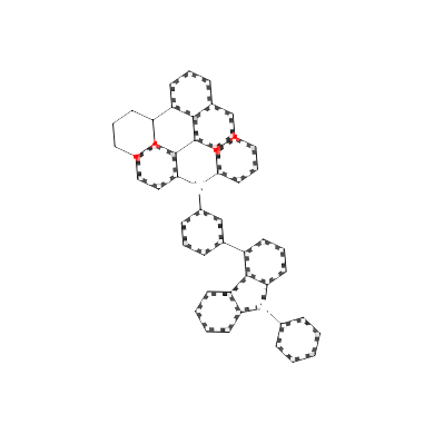 c1ccc(N(c2cccc(-c3cccc4c3c3ccccc3n4-c3ccccc3)c2)c2ccccc2-c2cccc3cccc(C4CCCCC4)c23)cc1